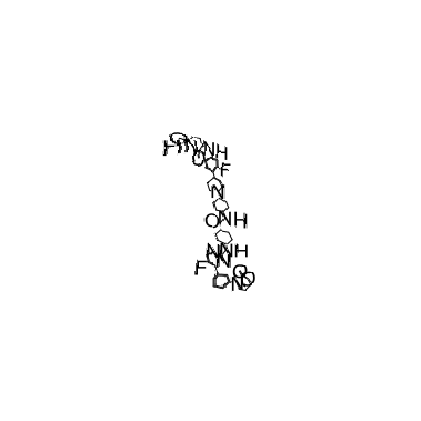 O=C1CCC(Nc2ccc(C3CCN([C@H]4CC[C@H](NC(=O)[C@H]5CC[C@H](Nc6ncc(F)c(-c7cccc(N8CCCOC8=O)c7)n6)CC5)CC4)CC3)c(F)c2)C(=O)N1